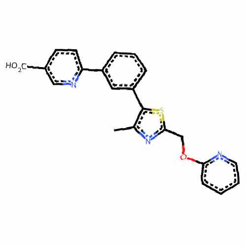 Cc1nc(COc2ccccn2)sc1-c1cccc(-c2ccc(C(=O)O)cn2)c1